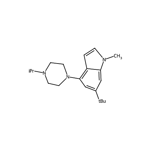 CC(C)N1CCN(c2cc(C(C)(C)C)cc3c2ccn3C)CC1